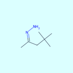 CC(CC(C)(C)C)=NN